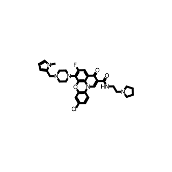 Cn1cccc1CN1CCN(c2c(F)cc3c(=O)c(C(=O)NCCN4CCCC4)cn4c3c2Oc2cc(Cl)ccc2-4)CC1